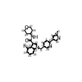 Cn1cc(-c2ccc(Cn3cc(C(=O)NC4CCOCC4)c4c(F)cccc43)cn2)cn1